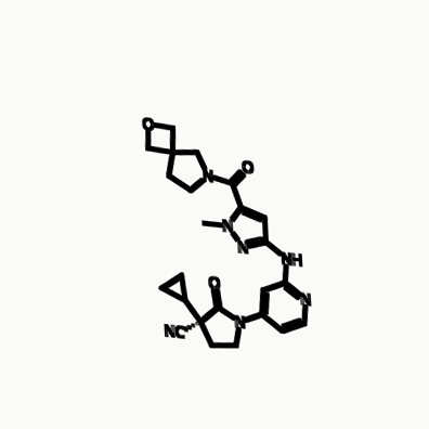 Cn1nc(Nc2cc(N3CC[C@@](C#N)(C4CC4)C3=O)ccn2)cc1C(=O)N1CCC2(COC2)C1